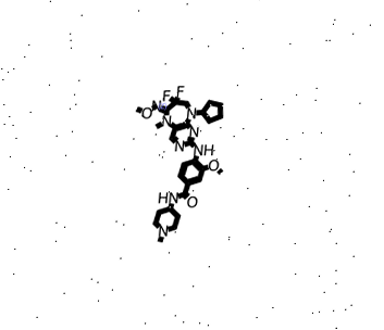 CO/N=C1\N(C)c2cnc(Nc3ccc(C(=O)NC4CCN(C)CC4)cc3OC)nc2N(C2CCCC2)CC1(F)F